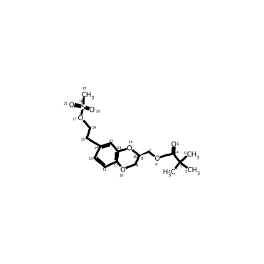 CC(C)(C)C(=O)OC[C@H]1COc2ccc(CCOS(C)(=O)=O)cc2O1